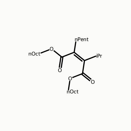 CCCCCCCCOC(=O)/C(CCCCC)=C(\C(=O)OCCCCCCCC)C(C)C